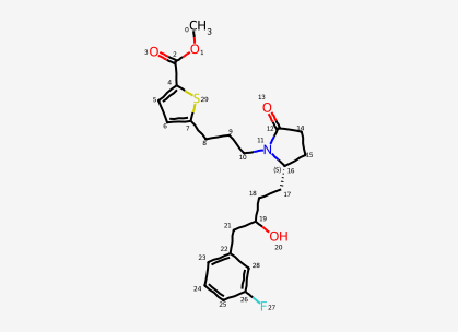 COC(=O)c1ccc(CCCN2C(=O)CC[C@@H]2CCC(O)Cc2cccc(F)c2)s1